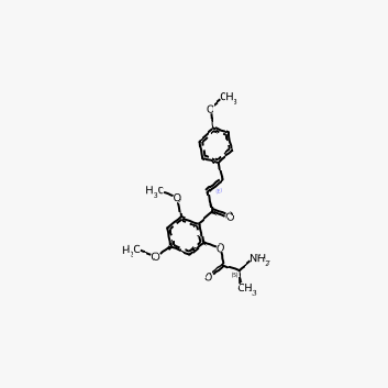 COc1ccc(/C=C/C(=O)c2c(OC)cc(OC)cc2OC(=O)[C@H](C)N)cc1